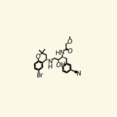 COCC(=O)N[C@@H](Cc1cccc(C#N)c1)[C@@H](O)CN[C@H]1CC(C)(C)Oc2ccc(Br)cc21